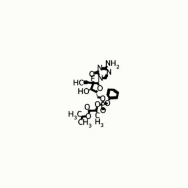 C#CC1(F)[C@@H](O)[C@@H](CO[P@](=O)(Oc2ccccc2)O[C@@H](C)C(=O)OC(C)C)O[C@H]1n1cnc(N)nc1=O